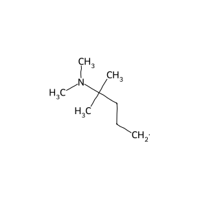 [CH2]CCC(C)(C)N(C)C